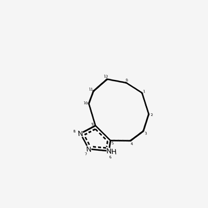 C1CCCCc2[nH]nnc2CCC1